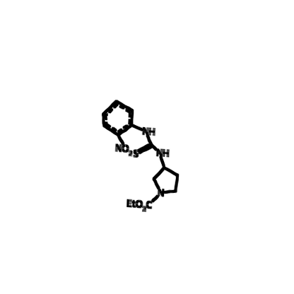 CCOC(=O)N1CCC(NC(=S)Nc2ccccc2[N+](=O)[O-])C1